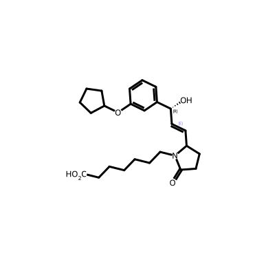 O=C(O)CCCCCCN1C(=O)CCC1/C=C/[C@@H](O)c1cccc(OC2CCCC2)c1